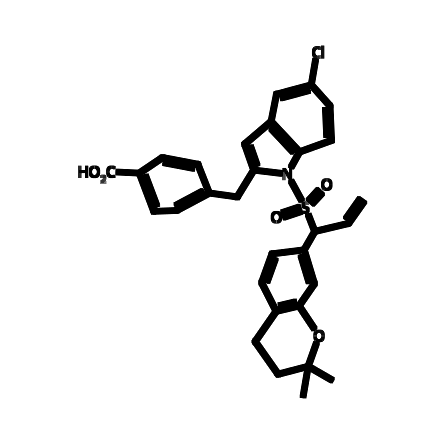 C=CC(c1ccc2c(c1)OC(C)(C)CC2)S(=O)(=O)n1c(Cc2ccc(C(=O)O)cc2)cc2cc(Cl)ccc21